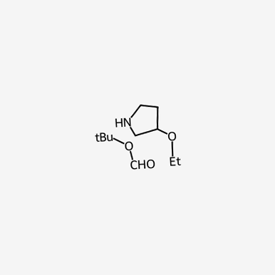 CC(C)(C)OC=O.CCOC1CCNC1